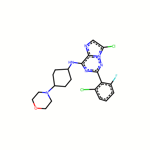 Fc1cccc(Cl)c1-c1nc(NC2CCC(N3CCOCC3)CC2)c2ncc(Cl)n2n1